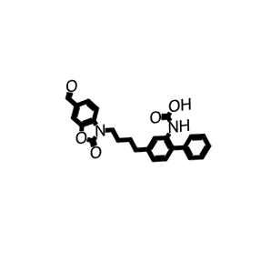 O=Cc1ccc2c(c1)oc(=O)n2CCCCc1ccc(-c2ccccc2)c(NC(=O)O)c1